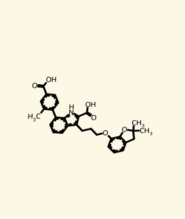 Cc1cc(C(=O)O)ccc1-c1cccc2c(CCCOc3cccc4c3OC(C)(C)C4)c(C(=O)O)[nH]c12